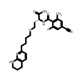 Cc1cc(C#N)cc(F)c1C(=O)N[C@H](CCOCCCCc1ccc2c(n1)NCCC2)C(=O)O